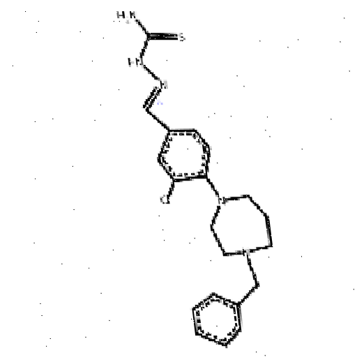 NC(=S)N/N=C/c1ccc(N2CCCN(Cc3ccccc3)CC2)c(Cl)c1